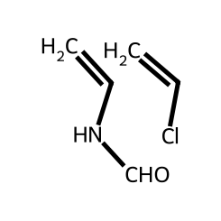 C=CCl.C=CNC=O